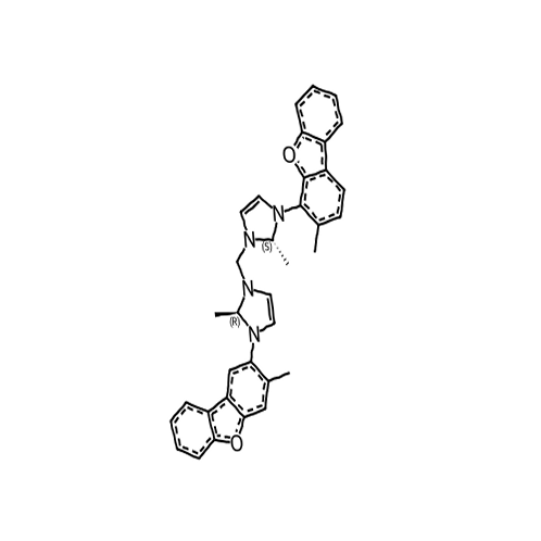 Cc1cc2oc3ccccc3c2cc1N1C=CN(CN2C=CN(c3c(C)ccc4c3oc3ccccc34)[C@@H]2C)[C@@H]1C